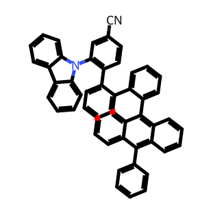 N#Cc1ccc(-c2ccccc2-c2ccccc2-c2c3ccccc3c(-c3ccccc3)c3ccccc23)c(-n2c3ccccc3c3ccccc32)c1